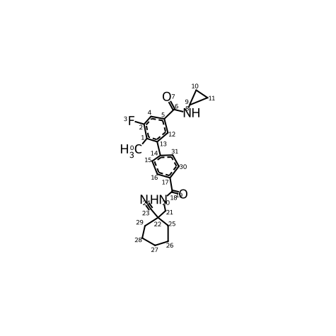 Cc1c(F)cc(C(=O)NC2CC2)cc1-c1ccc(C(=O)NCC2(C#N)CCCCC2)cc1